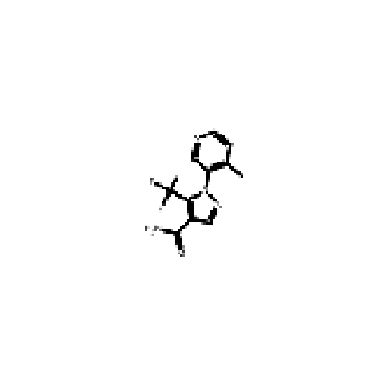 Cc1ccncc1-n1ncc(C(N)=O)c1C(F)(F)F